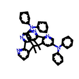 CC1(C2(C)c3cccnc3-c3ncc(N(c4ccccc4)c4ccccc4)cc32)c2cccnc2-c2ncc(N(c3ccccc3)c3ccccc3)cc21